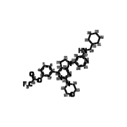 O=C(Oc1cccc(-c2nc(N3CCOCC3)nc3c2CCN3c2ccnc(NCC3CCCCC3)c2)c1)C(F)(F)F